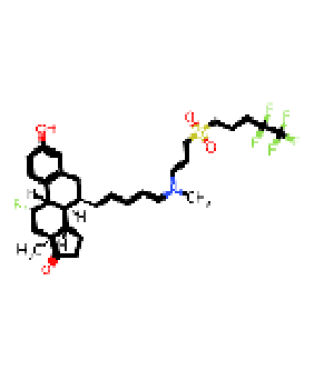 CN(CCCCC[C@@H]1Cc2cc(O)ccc2[C@@H]2[C@@H]1[C@@H]1CCC(=O)[C@@]1(C)C[C@@H]2F)CCCS(=O)(=O)CCCC(F)(F)C(F)(F)F